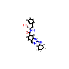 O=C(N[C@H](CO)Cc1ccccc1)c1ccc2cnc(NC3CCCCC3)nc2c1